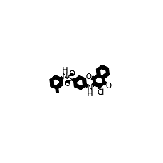 Cc1cccc(NS(=O)(=O)c2ccc(NC3=C(Cl)C(=O)c4ccccc4C3=O)cc2)c1